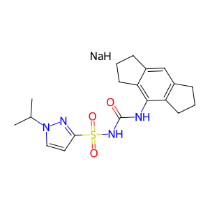 CC(C)n1ccc(S(=O)(=O)NC(=O)Nc2c3c(cc4c2CCC4)CCC3)n1.[NaH]